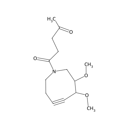 COC1C#CCCN(C(=O)CCC(C)=O)CC1OC